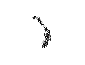 CCCOCCOCCOCCOCCOCCOc1cccc(CNC(=O)c2cccc(NCc3nnc(-c4ccncn4)n3C)c2)c1